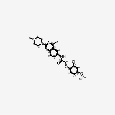 Cc1nc(N2CCN(C)CC2)nc2ccc(NC(=O)COc3ccc(OC(C)C)cc3Cl)cc12